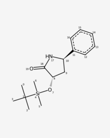 CC(C)(C)[Si](C)(C)O[C@H]1C[C@H](c2ccccc2)NC1=O